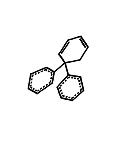 C1=CCC(c2ccccc2)(c2ccccc2)C=C1